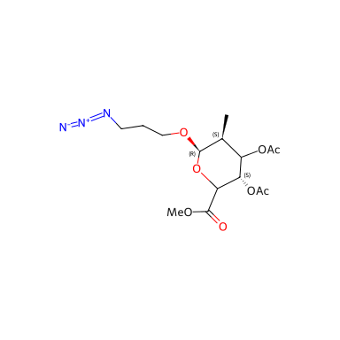 COC(=O)C1O[C@@H](OCCCN=[N+]=[N-])[C@@H](C)C(OC(C)=O)[C@@H]1OC(C)=O